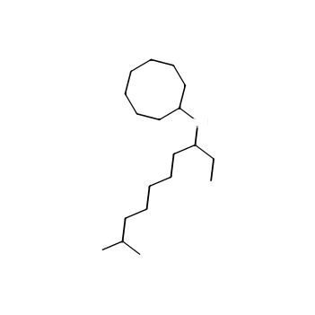 CCC(BC1CCCCCCC1)CCCCCC(C)C